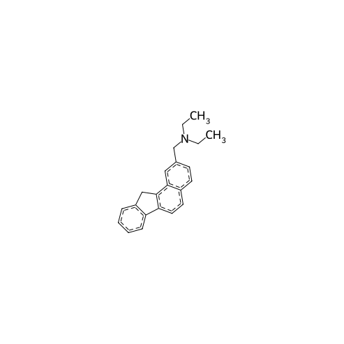 CCN(CC)Cc1ccc2ccc3c(c2c1)Cc1ccccc1-3